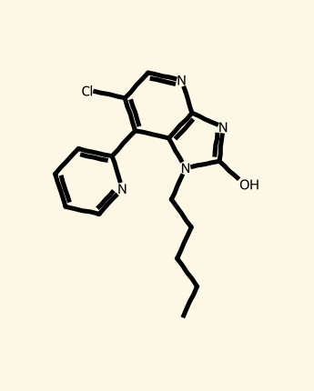 CCCCCn1c(O)nc2ncc(Cl)c(-c3ccccn3)c21